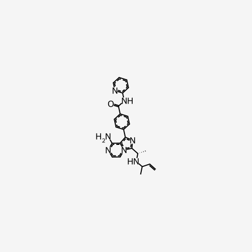 C=CC(C)N[C@@H](C)c1nc(-c2ccc(C(=O)Nc3ccccn3)cc2)c2c(N)nccn12